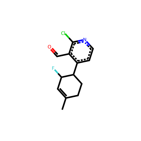 CC1=CC(F)C(c2ccnc(Cl)c2C=O)CC1